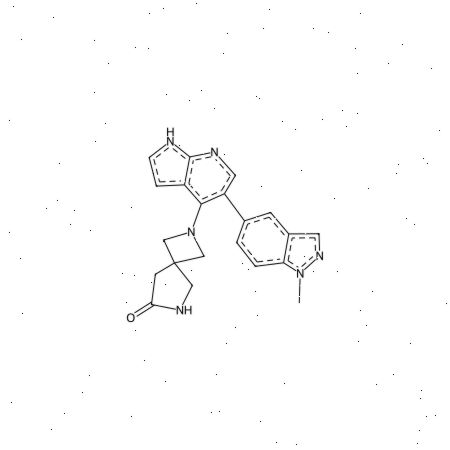 Cn1ncc2cc(-c3cnc4[nH]ccc4c3N3CC4(CNC(=O)C4)C3)ccc21